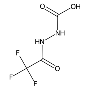 O=C(O)NNC(=O)C(F)(F)F